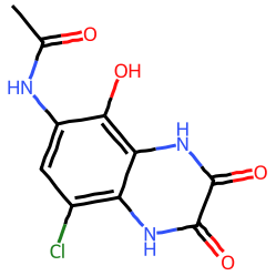 CC(=O)Nc1cc(Cl)c2[nH]c(=O)c(=O)[nH]c2c1O